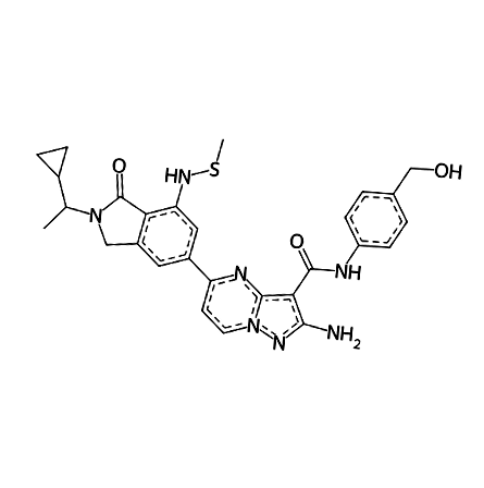 CSNc1cc(-c2ccn3nc(N)c(C(=O)Nc4ccc(CO)cc4)c3n2)cc2c1C(=O)N(C(C)C1CC1)C2